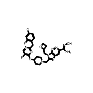 NC(=NO)c1cc2nc(CN3CCC(Oc4nc(Cc5ccc(Cl)cc5F)ncc4F)CC3)n(CC3CCO3)c2nn1